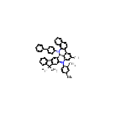 Cc1cc2c3c(c1)N(c1ccc(C(C)(C)C)cc1C)c1cc4c(cc1B3N(c1ccc(-c3ccccc3)cc1)c1c-2ccc2ccccc12)-c1ccccc1C4(C)C